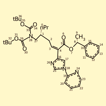 CCC[C@H](C/C=C(\C(=O)O[C@H](C)c1ccccc1)c1cn(-c2ccccn2)cn1)CN(C(=O)OC(C)(C)C)C(=O)OC(C)(C)C